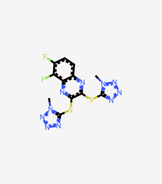 Cn1nnnc1Sc1nc2ccc(F)c(F)c2nc1Sc1nnnn1C